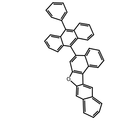 c1ccc(-c2c3ccccc3c(-c3cc4oc5cc6ccccc6cc5c4c4ccccc34)c3ccccc23)cc1